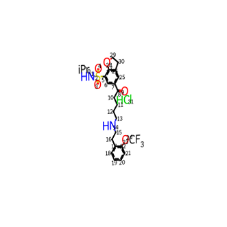 CC(C)NS(=O)(=O)c1cc(C(=O)CCCCNCCc2ccccc2OC(F)(F)F)cc2c1OCC2.Cl